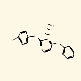 CN.CN.CN.N#Cc1ccc(Nc2nccc(Oc3ccccc3)n2)cc1